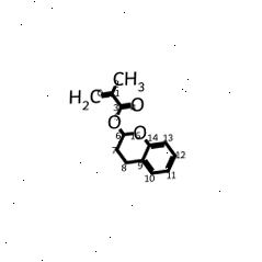 C=C(C)C(=O)OC1CCc2ccccc2O1